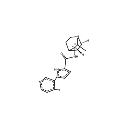 C[C@H]1[C@H](NC(=O)c2ccc(-c3cnccc3F)[nH]2)C2CCN1CC2